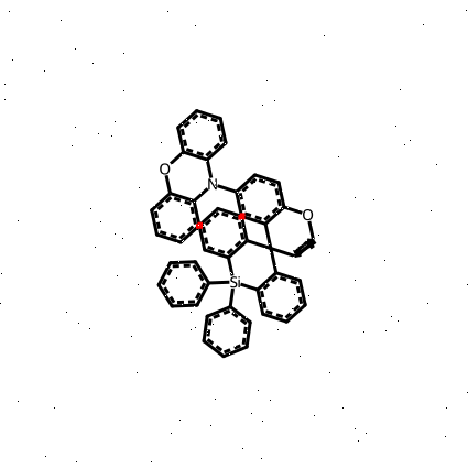 c1ccc([Si]2(c3ccccc3)c3ccccc3C3(c4ccccc4Oc4ccc(N5c6ccccc6Oc6ccccc65)cc43)c3ccccc32)cc1